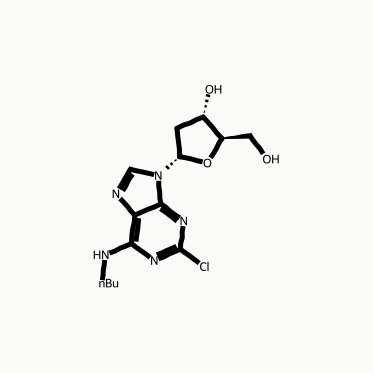 CCCCNc1nc(Cl)nc2c1ncn2[C@@H]1C[C@H](O)[C@@H](CO)O1